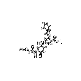 COCC(=O)Nc1cc(Nc2ncc(C(N)=O)c(NCc3ccccc3)n2)ccc1Cl